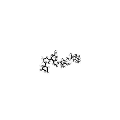 O=P(O)(O)CP(=O)(O)OC[C@H]1O[C@@H](n2cnc3c(N4CCCC(c5ccccc5)C4)nc(Cl)nc32)C(O)C1O